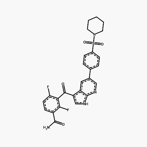 NC(=O)c1ccc(F)c(C(=O)c2c[nH]c3ncc(-c4ccc(S(=O)(=O)N5CCCCC5)cc4)cc23)c1F